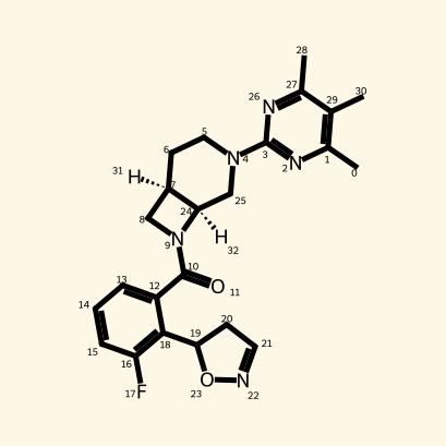 Cc1nc(N2CC[C@@H]3CN(C(=O)c4cccc(F)c4C4CC=NO4)[C@@H]3C2)nc(C)c1C